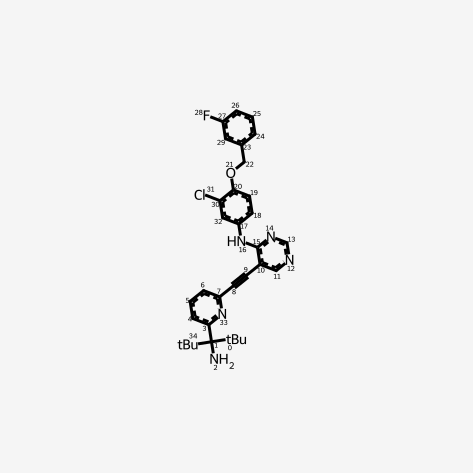 CC(C)(C)C(N)(c1cccc(C#Cc2cncnc2Nc2ccc(OCc3cccc(F)c3)c(Cl)c2)n1)C(C)(C)C